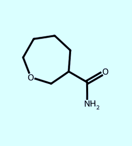 NC(=O)C1CCCCOC1